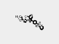 C=CC(=O)N1CC[C@@H](n2nc(-c3ccc(C(=O)Nc4ccccn4)cc3)c3cncc(Cl)c32)C1